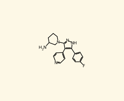 NC1CCCN(c2n[nH]c(-c3ccc(F)cc3)c2-c2ccncc2)C1